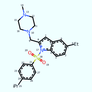 CCc1ccc2c(c1)cc(CN1CCN(C)CC1)n2S(=O)(=O)c1ccc(C(C)C)cc1